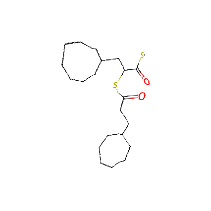 O=C(CCC1CCCCCC1)SC(CC1CCCCCCC1)C(=O)[S]